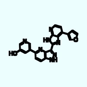 Oc1cncc(-c2ccc3[nH]nc(-c4nc5c(-c6ccoc6)ccnc5[nH]4)c3n2)c1